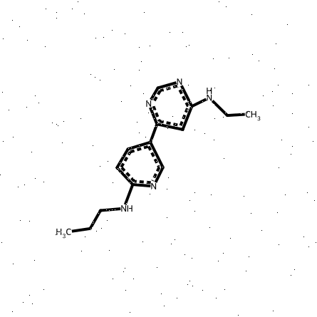 CCCNc1ccc(-c2cc(NCC)ncn2)cn1